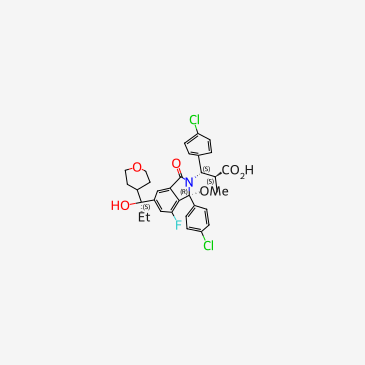 CC[C@@](O)(c1cc(F)c2c(c1)C(=O)N([C@H](c1ccc(Cl)cc1)[C@H](C)C(=O)O)[C@@]2(OC)c1ccc(Cl)cc1)C1CCOCC1